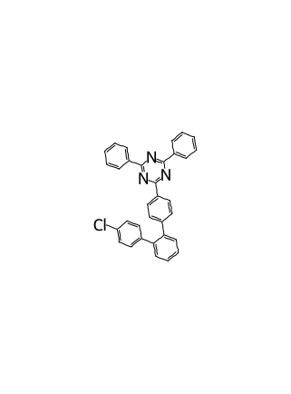 Clc1ccc(-c2ccccc2-c2ccc(-c3nc(-c4ccccc4)nc(-c4ccccc4)n3)cc2)cc1